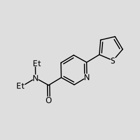 CCN(CC)C(=O)c1ccc(-c2cccs2)nc1